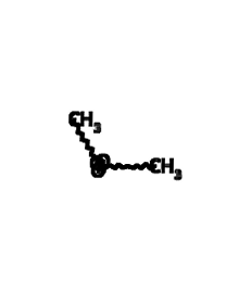 CCCCCCCCCCCCS(=O)(=O)OCCCCCCCCCCC